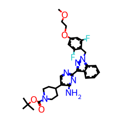 COCCOc1cc(F)c(Cn2nc(-c3ncc(C4CCN(C(=O)OC(C)(C)C)CC4)c(N)n3)c3ccccc32)c(F)c1